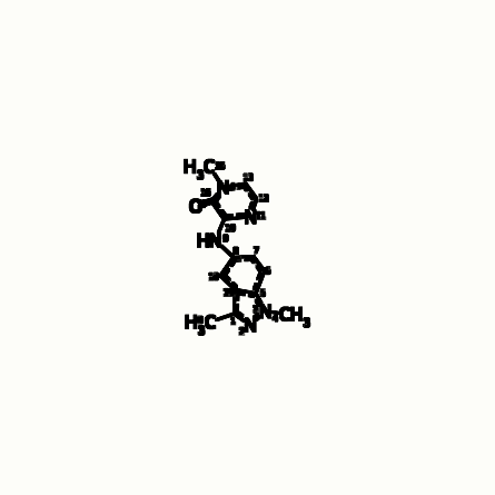 Cc1nn(C)c2ccc(Nc3nccn(C)c3=O)cc12